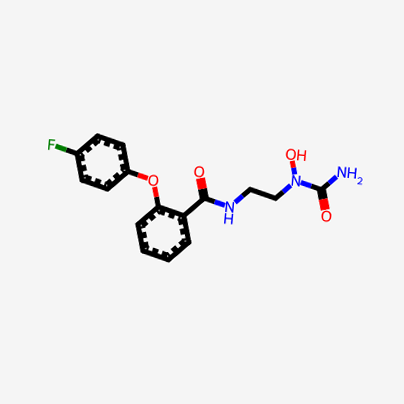 NC(=O)N(O)CCNC(=O)c1ccccc1Oc1ccc(F)cc1